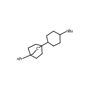 CCCCC1CCC(C23CCC(CCC)(CC2)CC3)CC1